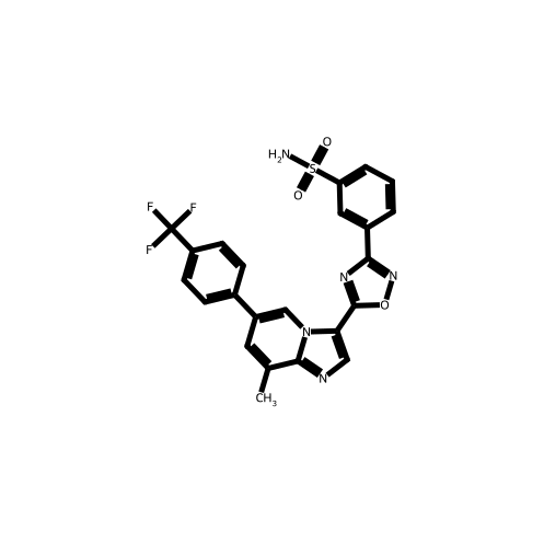 Cc1cc(-c2ccc(C(F)(F)F)cc2)cn2c(-c3nc(-c4cccc(S(N)(=O)=O)c4)no3)cnc12